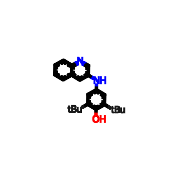 CC(C)(C)c1cc(Nc2cnc3ccccc3c2)cc(C(C)(C)C)c1O